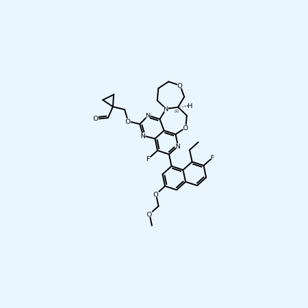 CCc1c(F)ccc2cc(OCOC)cc(-c3nc4c5c(nc(OCC6(C=O)CC6)nc5c3F)N3CCCOC[C@H]3CO4)c12